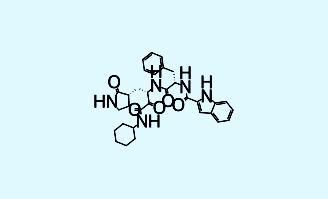 O=C(NC1CCCCC1)C(=O)[C@H](C[C@@H]1CCNC1=O)NC(=O)[C@H](Cc1ccccc1)NC(=O)c1cc2ccccc2[nH]1